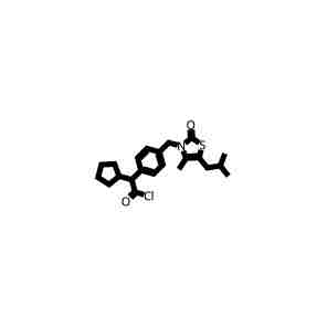 Cc1c(CC(C)C)sc(=O)n1Cc1ccc(C(C(=O)Cl)C2CCCC2)cc1